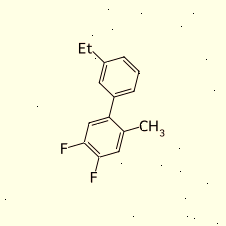 CCc1cccc(-c2cc(F)c(F)cc2C)c1